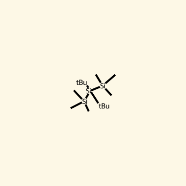 CC(C)(C)[Si](C(C)(C)C)([Si](C)(C)C)[Si](C)(C)C